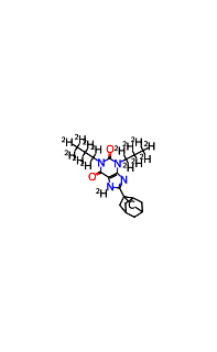 [2H]n1c(C23CC4CC(CC2C4)C3)nc2c1c(=O)n(C([2H])([2H])C([2H])([2H])C([2H])([2H])[2H])c(=O)n2C([2H])([2H])C([2H])([2H])C([2H])([2H])[2H]